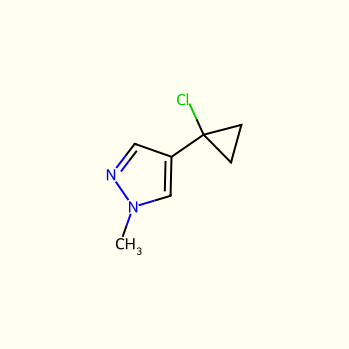 Cn1cc(C2(Cl)CC2)cn1